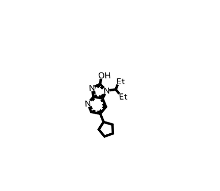 CCC(CC)n1c(O)nc2ncc(C3CCCC3)cc21